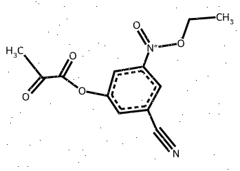 CCO[N+](=O)c1cc(C#N)cc(OC(=O)C(C)=O)c1